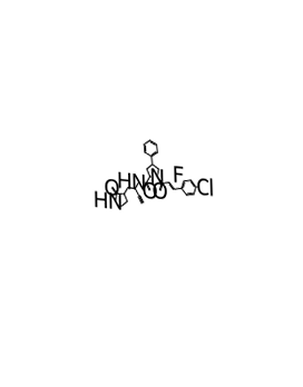 C#CC(CC1CCNC1=O)NC(=O)C1CC(c2ccccc2)CN1C(=O)/C=C/c1ccc(Cl)cc1F